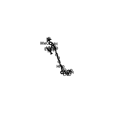 CCn1nc(C2CC2)cc1Nc1nc(C(=O)NCCCOCCOCCOCCCNC(=O)COc2cccc(C=O)c2C(=O)N(C)C2CCC(=O)NC2=O)nc2[nH]c3cc(-c4c(C)noc4C)c(OC)cc3c12